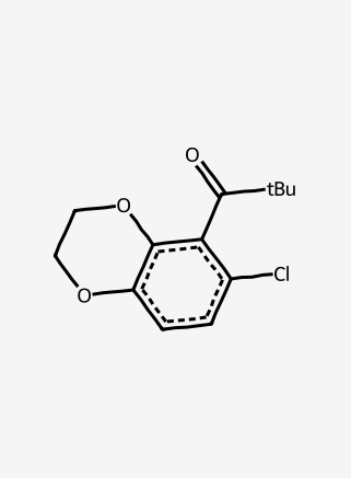 CC(C)(C)C(=O)c1c(Cl)ccc2c1OCCO2